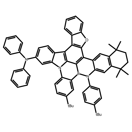 CC(C)(C)c1ccc(N2B3c4cc(C(C)(C)C)ccc4-n4c5cc(N(c6ccccc6)c6ccccc6)ccc5c5c6c(oc7ccccc76)c(c3c54)-c3cc4c(cc32)C(C)(C)CCC4(C)C)cc1